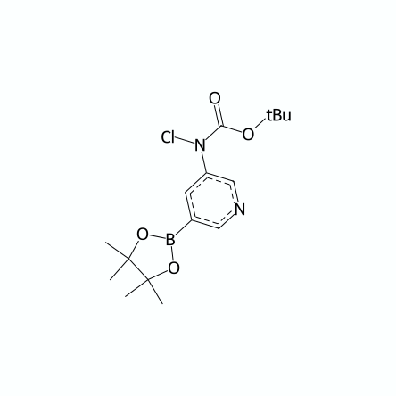 CC(C)(C)OC(=O)N(Cl)c1cncc(B2OC(C)(C)C(C)(C)O2)c1